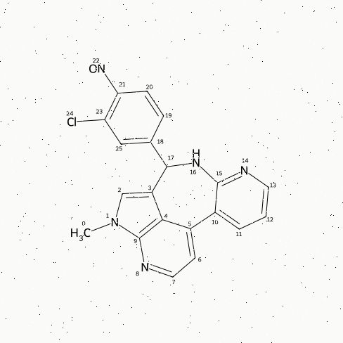 Cn1cc2c3c(ccnc31)-c1cccnc1NC2c1ccc(N=O)c(Cl)c1